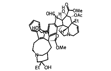 CC[C@]1(O)CC2C[N@](CCc3c([nH]c4ccccc34)[C@@](C(=O)OC)(c3cc4c(cc3CO)N(C=O)[C@H]3[C@@](O)(C(=O)OC)[C@H](OC(C)=O)[C@]5(CC)C=CCN6CC[C@]43[C@@H]65)C2)C1